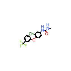 CNC(=O)Nc1ccc(Oc2cccc(C(F)(F)F)c2)c(Cl)c1